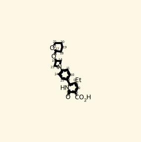 CCc1cc(C(=O)O)c(=O)[nH]c1-c1ccc(N2CC(OC3CCCCO3)C2)cc1